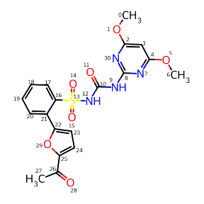 COc1cc(OC)nc(NC(=O)NS(=O)(=O)c2ccccc2-c2ccc(C(C)=O)o2)n1